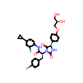 O=C(Nc1ccc(C2CC2)cc1F)[C@H](Cc1ccc(F)cc1)N1C(=O)N[C@H](c2ccc(OC[C@H](O)CO)cc2)C1=O